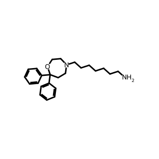 NCCCCCCCN1CCOC(c2ccccc2)(c2ccccc2)CC1